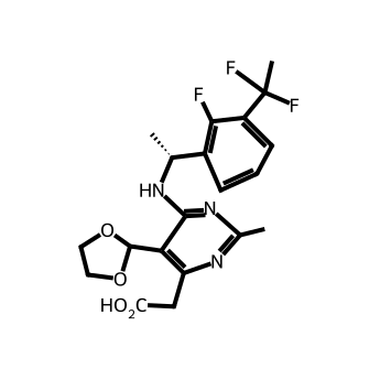 Cc1nc(CC(=O)O)c(C2OCCO2)c(N[C@H](C)c2cccc(C(C)(F)F)c2F)n1